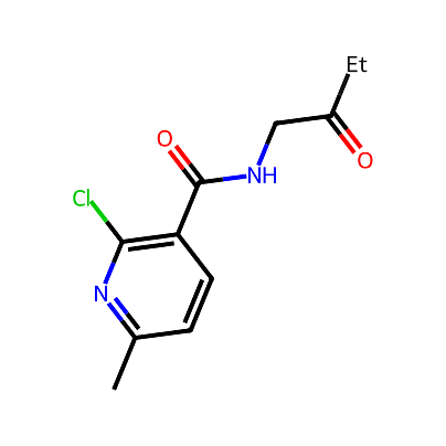 CCC(=O)CNC(=O)c1ccc(C)nc1Cl